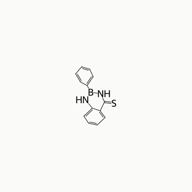 S=C1NB(c2ccccc2)Nc2ccccc21